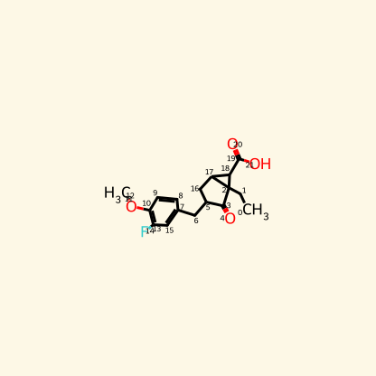 CCC12C(=O)C(Cc3ccc(OC)c(F)c3)CC1C2C(=O)O